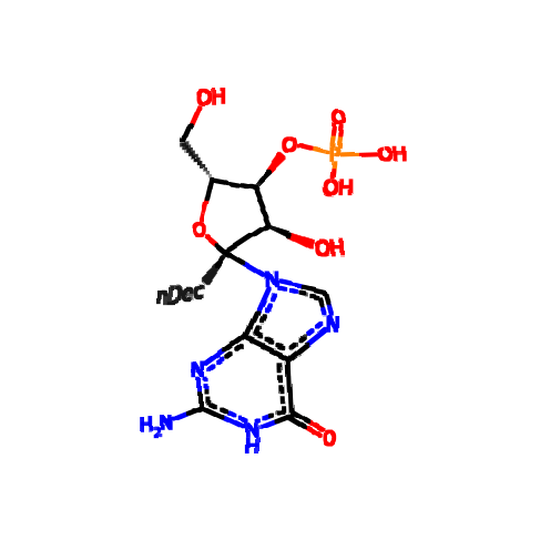 CCCCCCCCCC[C@@]1(n2cnc3c(=O)[nH]c(N)nc32)O[C@H](CO)[C@@H](OP(=O)(O)O)[C@H]1O